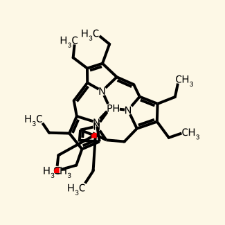 CCC1=C(CC)C2Cc3c(CC)c(CC)c4n3[PH]35N2C1=Cc1c(CC)c(CC)c(n13)C=c1c(CC)c(CC)c(n15)=C4